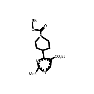 CCOC(=O)c1cnc(SC)nc1C1CCN(C(=O)OC(C)(C)C)CC1